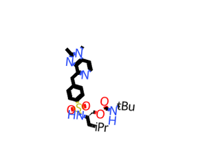 Cc1nc2c(Cc3ccc(S(=O)(=O)N[C@H](COC(=O)NC(C)(C)C)CC(C)C)cc3)nccc2n1C